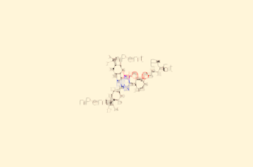 CCCCCC(C)(C)c1ccc(-c2nc(-c3ccc(C(C)(C)CCCCC)cc3)nc(-c3cccc(OCCCC(CC)CC)c3O)n2)cc1